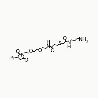 CC(C)C1CC(=O)N(CCOCCOCCNC(=O)CCSCC(=O)NCCCN)C1=O